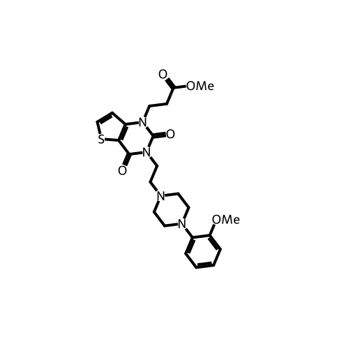 COC(=O)CCn1c(=O)n(CCN2CCN(c3ccccc3OC)CC2)c(=O)c2sccc21